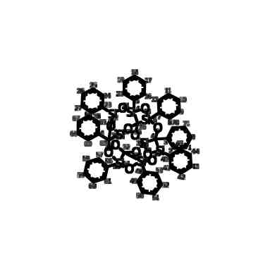 c1ccc(C23O[Si]4(c5ccccc5)O[Si]5(c6ccccc6)O[Si]6(c7ccccc7)O[Si]78OC9%10O[Si]2(OC45O7)O[Si]3(c2ccccc2)O[Si]9(c2ccccc2)O[Si]%10(c2ccccc2)OC86c2ccccc2)cc1